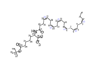 CC/C=C\C/C=C\C/C=C\C/C=C\C/C=C\C/C=C\CCC(=O)NC(CCCCC(=O)OC(C)(C)C)C(=O)OC